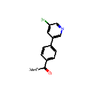 COC(=O)c1ccc(-c2cncc(Br)c2)cc1